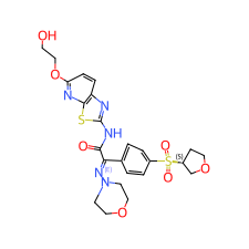 O=C(Nc1nc2ccc(OCCO)nc2s1)/C(=N/N1CCOCC1)c1ccc(S(=O)(=O)[C@H]2CCOC2)cc1